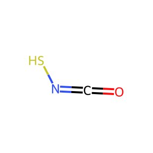 O=C=NS